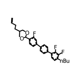 C=CCCC1COC(c2ccc(-c3ccc(-c4ccc(CCCC)c(F)c4F)cc3)cc2F)OC1